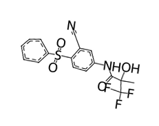 CC(O)(C(=O)Nc1ccc(S(=O)(=O)c2ccccc2)c(C#N)c1)C(F)(F)F